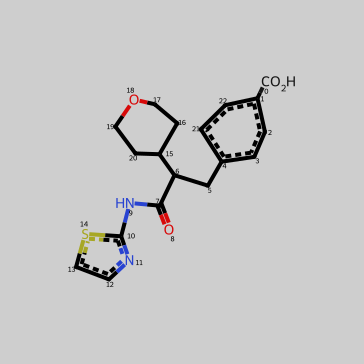 O=C(O)c1ccc(CC(C(=O)Nc2nccs2)C2CCOCC2)cc1